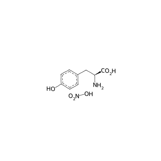 N[C@@H](Cc1ccc(O)cc1)C(=O)O.O=[N+]([O-])O